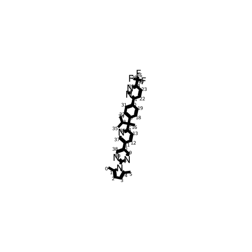 Cc1ccc(C)n1-c1ncc(-c2ccc(C(C)(c3ccc(-c4ccc(C(F)(F)F)nn4)cc3)C(C)C)nc2)cn1